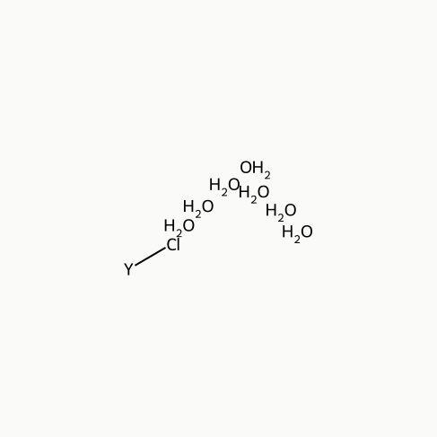 O.O.O.O.O.O.O.[Cl][Y]